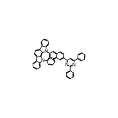 c1ccc(-c2cc(-c3ccc4cc(-n5c6ccccc6c6ccc7c8ccccc8n(-c8ccccc8)c7c65)ccc4c3)nc(-c3ccccc3)n2)cc1